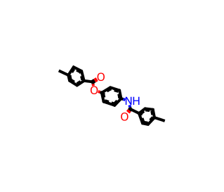 Cc1ccc(C(=O)Nc2ccc(OC(=O)c3ccc(C)cc3)cc2)cc1